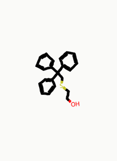 OCCSCC(c1ccccc1)(c1ccccc1)c1ccccc1